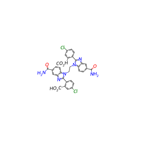 NC(=O)c1ccc2c(c1)nc(-c1ccc(Cl)cc1C(=O)O)n2CCn1c(-c2ccc(Cl)cc2C(=O)O)nc2cc(C(N)=O)ccc21